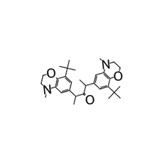 CC(C(=O)C(C)c1cc2c(c(C(C)(C)C)c1)OCCN2C)c1cc2c(c(C(C)(C)C)c1)OCCN2C